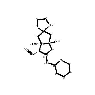 O=C[C@@H]1[C@@H]2CC3(C[C@@H]2C[C@H]1OC1CCCCO1)OCCO3